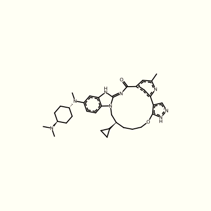 Cc1cc2cc(n1)-c1cn[nH]c1OCCC[C@@H](C1CC1)CN1/C(=N/C2=O)Nc2cc(N(C)[C@H]3CC[C@H](N(C)C)CC3)ccc21